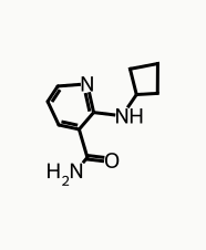 NC(=O)c1cccnc1NC1CCC1